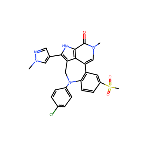 Cn1cc(-c2[nH]c3c(=O)n(C)cc4c3c2CN(c2ccc(Cl)cc2)c2ccc(S(C)(=O)=O)cc2-4)cn1